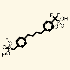 O=P(Cc1ccc(CCCCc2ccc(C(F)(F)P(=O)(O)O)cc2)cc1)(OF)OF